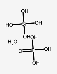 O.O=P(O)(O)O.O[Si](O)(O)O